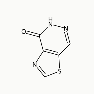 O=c1[nH]n[c]c2scnc12